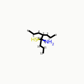 CCCC(CCC)C(N)(S)CCC